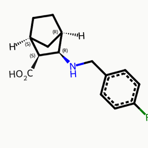 O=C(O)[C@H]1[C@H]2CC[C@H](C2)[C@H]1NCc1ccc(F)cc1